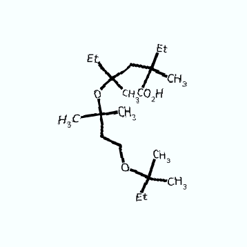 CCC(C)(C)OCCC(C)(C)OC(C)(CC)CC(C)(CC)C(=O)O